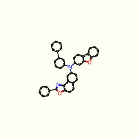 c1ccc(-c2cccc(N(c3ccc4c(c3)oc3ccccc34)c3ccc4ccc5oc(-c6ccccc6)nc5c4c3)c2)cc1